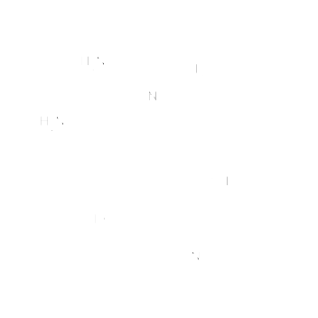 Cc1ccccc1-c1nc(N)c(N)cc1-c1c(C)cncc1C